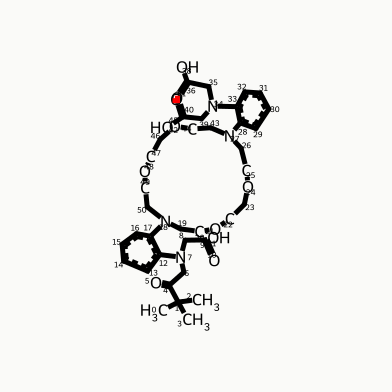 CC(C)(C)C(=O)CN(CC(=O)O)c1ccccc1N1CCOCCOCCN(c2ccccc2N(CC(=O)O)CC(=O)O)CCOCCOCC1